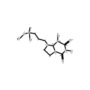 CCO[Si](C)(CC)CCCN1CCN2C(=O)N(CC)C(=O)N(CC)C12